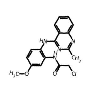 COc1ccc(Nc2nc(C)nc3ccccc23)c(NC(=O)CCl)c1